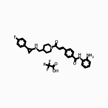 Nc1ccccc1NC(=O)c1ccc(/C=C/C(=O)N2CCC(CNC3CC3c3ccc(F)cc3)CC2)cc1.O=C(O)C(F)(F)F